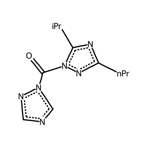 CCCc1nc(C(C)C)n(C(=O)n2cncn2)n1